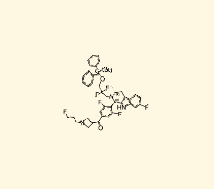 C[C@@H]1Cc2c([nH]c3cc(F)ccc23)[C@@H](c2c(F)cc(C(=O)C3CN(CCCF)C3)cc2F)N1CC(F)(F)CO[Si](c1ccccc1)(c1ccccc1)C(C)(C)C